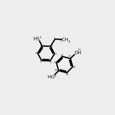 CCc1ccccc1S.Oc1ccc(O)cc1